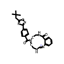 CC(C)(C)Cc1nc(-c2ccc(C(=O)N3CCN/C=N/c4ccccc4C(=O)NCC3)cc2)no1